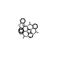 CC(C)c1cccc(C(C)C)c1-n1c(=NN2c3ccccc3Oc3ccccc32)n(-c2c(C(C)C)cccc2C(C)C)c2nccnc21